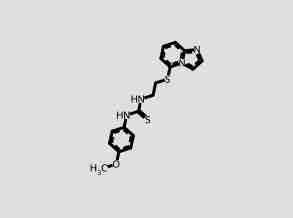 COc1ccc(NC(=S)NCCSc2cccc3nccn23)cc1